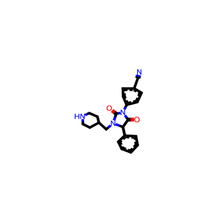 N#Cc1ccc(N2C(=O)C(c3ccccc3)N(CC3CCNCC3)C2=O)cc1